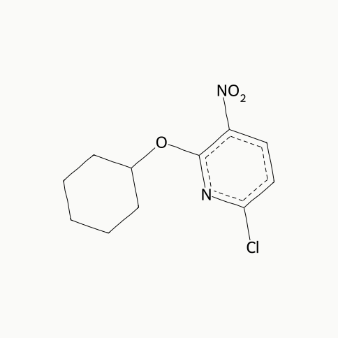 O=[N+]([O-])c1ccc(Cl)nc1OC1CCCCC1